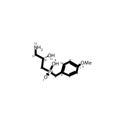 COc1ccc(CP(=O)(O)C[C@@H](O)CN)cc1